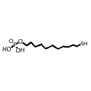 O=P(O)(O)OCCCCCCCCCCCS